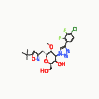 CO[C@@H]1[C@@H](n2cc(-c3ccc(Cl)c(F)c3F)nn2)[C@@H](O)[C@@H](CO)O[C@@H]1Cc1cc(C(C)(C)C)on1